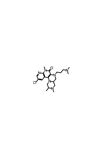 CC1CN2c3c(c(=O)n(C)c4ncc(Cl)cc34)N(CCCN(C)C)CC2CN1C